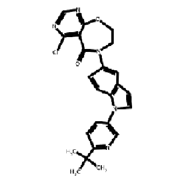 CC(C)(C)c1ccc(-n2ccc3cc(N4CCOc5ncnc(Cl)c5C4=O)ccc32)cn1